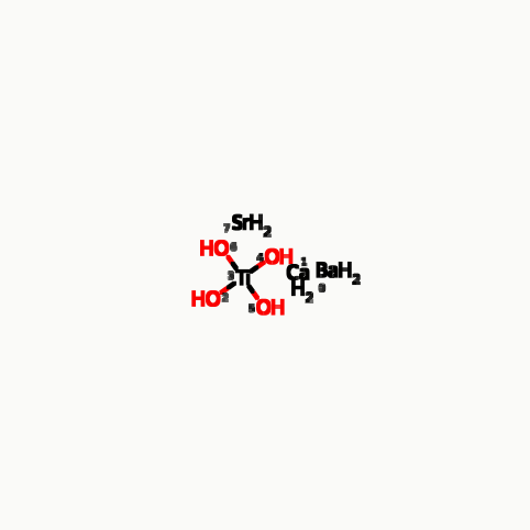 [BaH2].[CaH2].[OH][Ti]([OH])([OH])[OH].[SrH2]